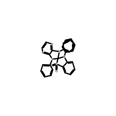 O=S1(=O)c2ccccc2N(c2ccccc2)C12N(c1ccccc1)c1nccnc1N2c1ccccc1